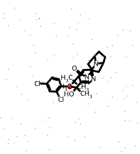 CC(C)(Oc1ccc(Cl)cc1Cl)C(=O)NC1CC2CCC(C1)N2c1ccc(C(C)(C)O)cn1